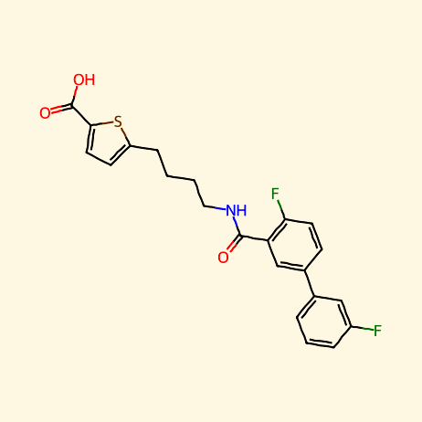 O=C(O)c1ccc(CCCCNC(=O)c2cc(-c3cccc(F)c3)ccc2F)s1